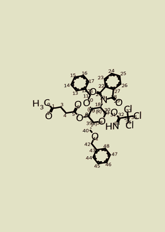 CC(=O)CCC(=O)O[C@H]1[C@H](OCc2ccccc2)[C@@H](N2C(=O)c3ccccc3C2=O)[C@H](OC(=N)C(Cl)(Cl)Cl)O[C@@H]1COCc1ccccc1